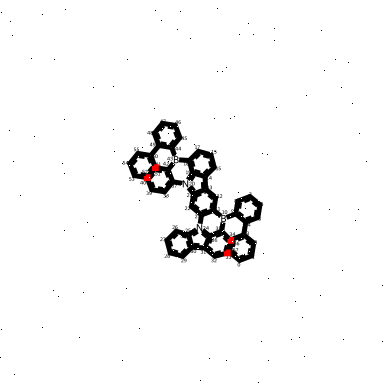 c1ccc(-c2ccccc2B2c3cc4c5cccc6c5n(c4cc3-n3c4ccccc4c4cccc2c43)-c2ccccc2B6c2ccccc2-c2ccccc2)cc1